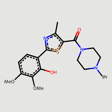 COc1ccc(-c2nc(C)c(C(=O)N3CCN(C(C)C)CC3)s2)c(O)c1OC